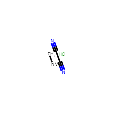 CNC.Cl.N#CC#N